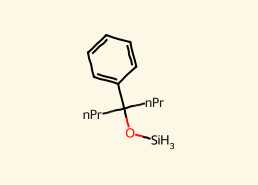 CCCC(CCC)(O[SiH3])c1ccccc1